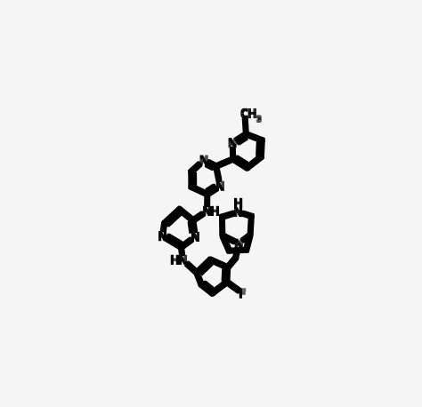 Cc1cccc(-c2nccc(Nc3ccnc(Nc4ccc(F)c(CN5C6CCC5CNC6)c4)n3)n2)n1